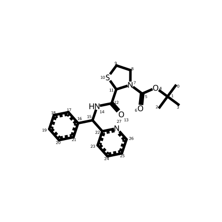 CC(C)(C)OC(=O)N1CCSC1C(=O)NC(c1ccccc1)c1ccccn1